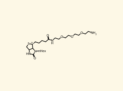 CCCCCCN1C(=O)NC2CS[C@@H](CCCCC(=O)NCCOCCOCCOCCN)C21